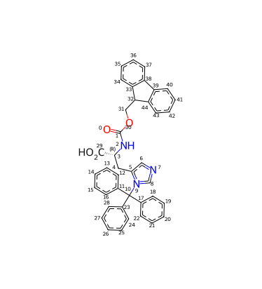 O=C(N[C@H](Cc1cncn1C(c1ccccc1)(c1ccccc1)c1ccccc1)C(=O)O)OCC1c2ccccc2-c2ccccc21